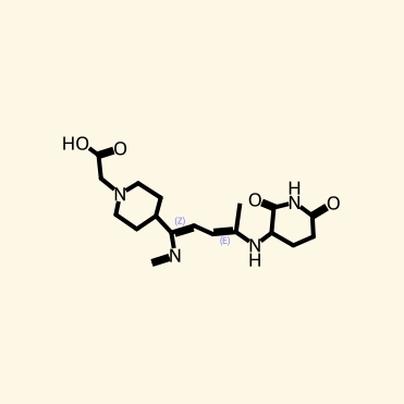 C=N/C(=C\C=C(/C)NC1CCC(=O)NC1=O)C1CCN(CC(=O)O)CC1